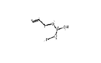 C=CCOB(O)OF